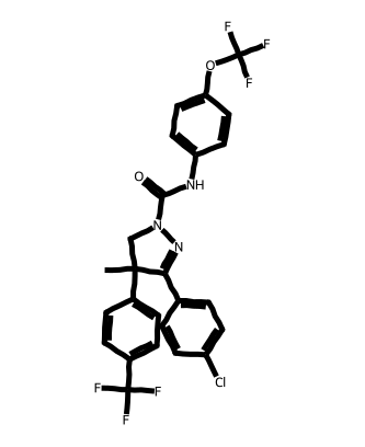 CC1(c2ccc(C(F)(F)F)cc2)CN(C(=O)Nc2ccc(OC(F)(F)F)cc2)N=C1c1ccc(Cl)cc1